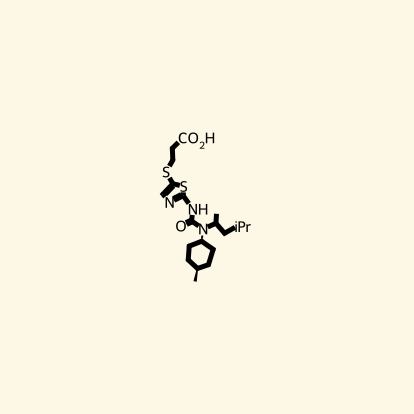 CC(C)CC(C)N(C(=O)Nc1ncc(SCCC(=O)O)s1)[C@H]1CC[C@H](C)CC1